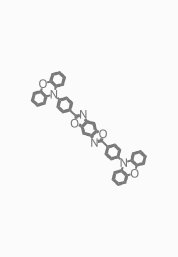 c1ccc2c(c1)Oc1ccccc1N2c1ccc(-c2nc3cc4oc(-c5ccc(N6c7ccccc7Oc7ccccc76)cc5)nc4cc3o2)cc1